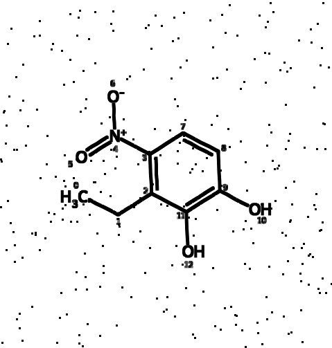 CCc1c([N+](=O)[O-])ccc(O)c1O